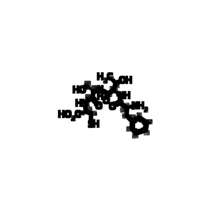 C[C@@H](O)[C@H](NC(=O)[C@@H](N)Cc1ccccc1)C(=O)N[C@@H](CO)C(=O)N[C@H](CS)C(=O)O